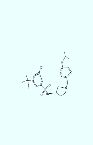 CC(C)Oc1ccc(CN2CC[C@@H](NS(=O)(=O)c3cc(Cl)cc(C(F)(F)F)c3)C2)cc1